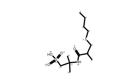 CCCCSCC(C)C(=O)NC(C)(C)CS(=O)(=O)O